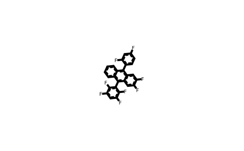 Fc1ccc(-c2c3ccccc3c(-c3c(F)c(F)cc(F)c3F)c3cc(F)c(F)cc23)c(F)c1